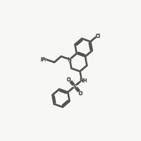 CC(C)CCN1CC(NS(=O)(=O)c2ccccc2)Cc2cc(Cl)ccc21